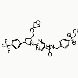 CCS(=O)(=O)c1ccc(CNC(=O)c2cnc(N3CC(c4ccc(C(F)(F)F)cc4)C[C@H]3COC3COC3)nc2)cc1